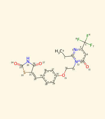 CCc1nc(C(F)(F)F)cc(=O)n1CCOc1ccc(C=C2SC(=O)NC2=O)cc1